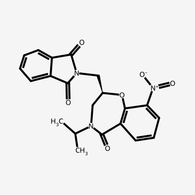 CC(C)N1C[C@@H](CN2C(=O)c3ccccc3C2=O)Oc2c(cccc2[N+](=O)[O-])C1=O